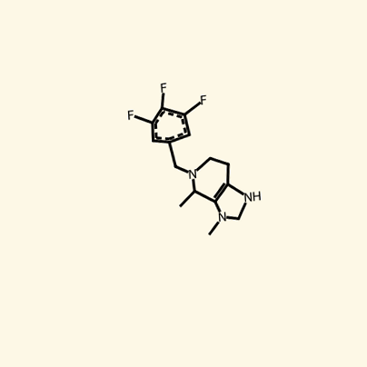 CC1C2=C(CCN1Cc1cc(F)c(F)c(F)c1)NCN2C